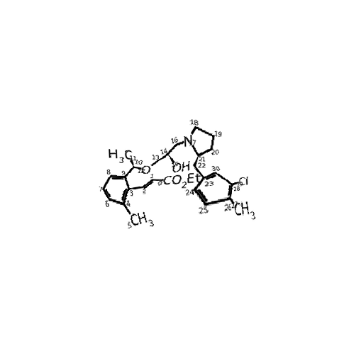 CCOC(=O)/C=C/c1c(C)cccc1[C@@H](C)OC[C@H](O)CN1CCC[C@H]1Cc1ccc(C)c(Cl)c1